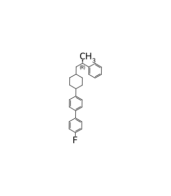 C[C@H](CC1CCC(c2ccc(-c3ccc(F)cc3)cc2)CC1)c1ccccc1